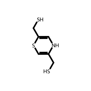 SCC1=CSC(CS)=CN1